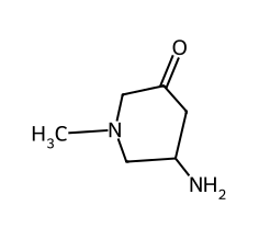 CN1CC(=O)CC(N)C1